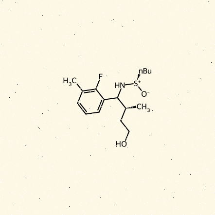 CCCC[S@@+]([O-])NC(c1cccc(C)c1F)[C@@H](C)CCO